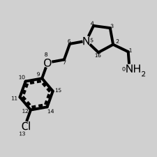 NCC1CCN(CCOc2ccc(Cl)cc2)C1